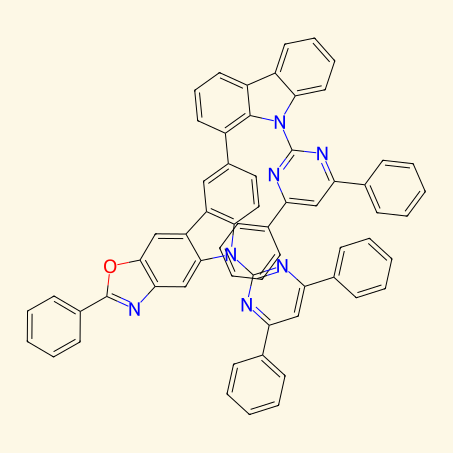 c1ccc(-c2cc(-c3ccccc3)nc(-n3c4ccc(-c5cccc6c7ccccc7n(-c7nc(-c8ccccc8)cc(-c8ccccc8)n7)c56)cc4c4cc5oc(-c6ccccc6)nc5cc43)n2)cc1